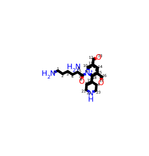 NCCCC[C@H](N)C(=O)[n+]1cc(C=O)cc(C=O)c1C1=CCNCC1